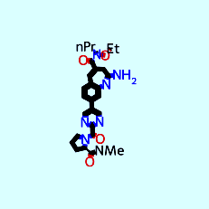 CCCN(OCC)C(=O)C1=Cc2ccc(-c3cnc(C(=O)N4CCC[C@@H]4C(=O)NC)nc3)cc2N=C(N)C1